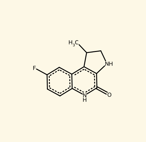 CC1CNc2c1c1cc(F)ccc1[nH]c2=O